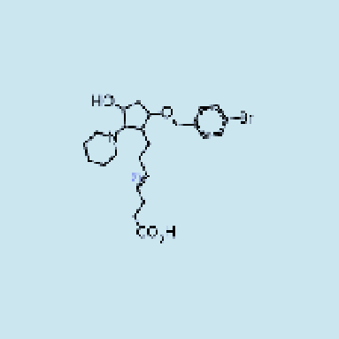 O=C(O)CC/C=C/CCC1C(OCc2ccc(Br)cc2)CC(O)C1N1CCCCC1